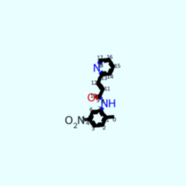 Cc1ccc([N+](=O)[O-])cc1NC(=O)C=Cc1ccccn1